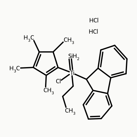 CC[CH2][Ti](=[SiH2])([Cl])([C]1=C(C)C(C)=C(C)C1C)[CH]1c2ccccc2-c2ccccc21.Cl.Cl